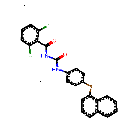 O=C(NC(=O)c1c(F)cccc1Cl)Nc1ccc(Sc2cccc3ccccc23)cc1